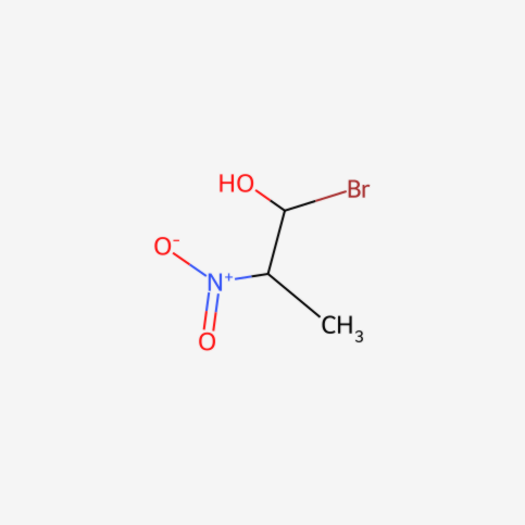 CC(C(O)Br)[N+](=O)[O-]